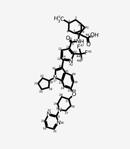 CC1CC2CC(C1)C(NC(=O)c1ccc(-c3cn(C4CCCC4)c4cc(OC5CCN(c6ncccn6)CC5)ccc34)nc1C(F)(F)F)(C(=O)O)C2